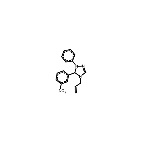 C=CCN1[C]=NN(c2ccccc2)C1c1cccc([N+](=O)[O-])c1